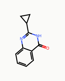 O=c1[nH]c(C2CC2)nc2ccccc12